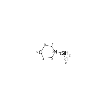 Cl[SiH2]N1CCOCC1